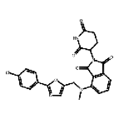 CN(Cc1cnc(-c2ccc(Cl)cc2)o1)c1cccc2c1C(=O)N(C1CCC(=O)NC1=O)C2=O